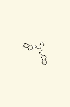 c1ccc2cc(OCC(COc3ccc4ccccc4c3)C3CCC3)ccc2c1